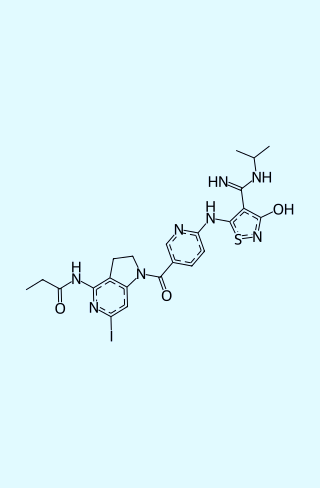 CCC(=O)Nc1nc(I)cc2c1CCN2C(=O)c1ccc(Nc2snc(O)c2C(=N)NC(C)C)nc1